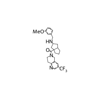 COc1cccc(CNC2CC3CCCC3(C(=O)N3CCc4ncc(C(F)(F)F)cc4C3)C2)c1